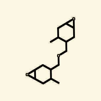 CC1CC2OC2CC1COCC1CC2OC2CC1C